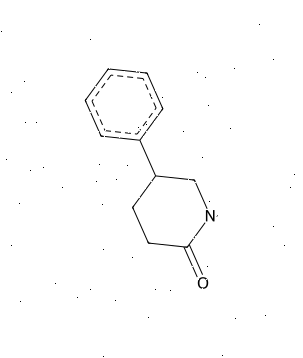 O=C1CCC(c2ccccc2)C[N]1